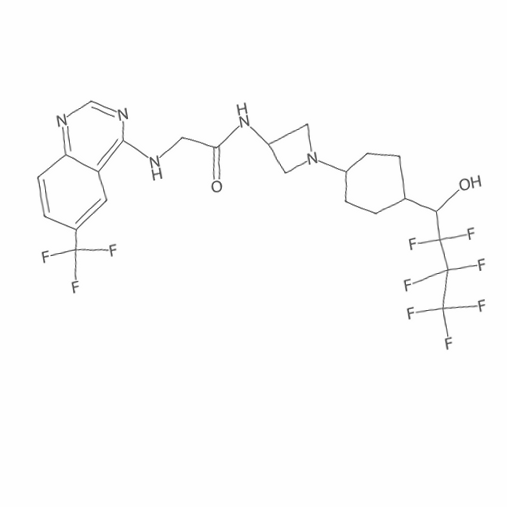 O=C(CNc1ncnc2ccc(C(F)(F)F)cc12)NC1CN(C2CCC(C(O)C(F)(F)C(F)(F)C(F)(F)F)CC2)C1